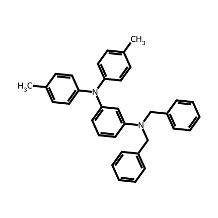 Cc1ccc(N(c2ccc(C)cc2)c2cccc(N(Cc3ccccc3)Cc3ccccc3)c2)cc1